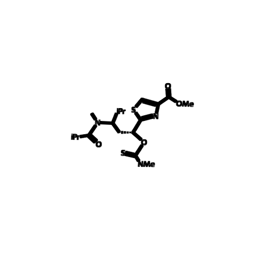 CNC(=S)O[C@H](CC(C(C)C)N(C)C(=O)C(C)C)c1nc(C(=O)OC)cs1